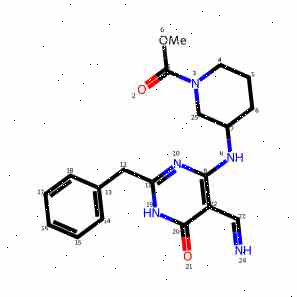 COC(=O)N1CCCC(Nc2nc(Cc3ccccc3)[nH]c(=O)c2C=N)C1